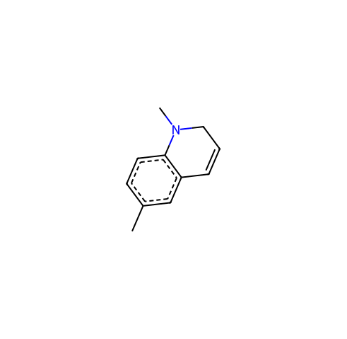 Cc1ccc2c(c1)C=CCN2C